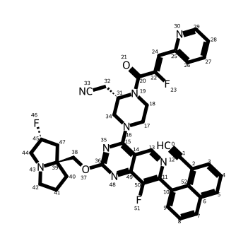 C#Cc1cccc2cccc(-c3ncc4c(N5CCN(C(=O)/C(F)=C/c6ccccn6)[C@@H](CC#N)C5)nc(OC[C@@]56CCCN5C[C@H](F)C6)nc4c3F)c12